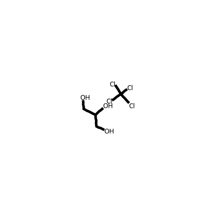 ClC(Cl)(Cl)Cl.OCC(O)CO